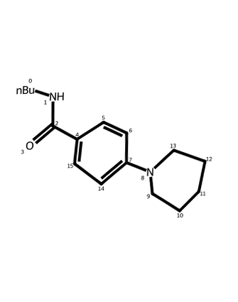 CCCCNC(=O)c1ccc(N2CCCCC2)cc1